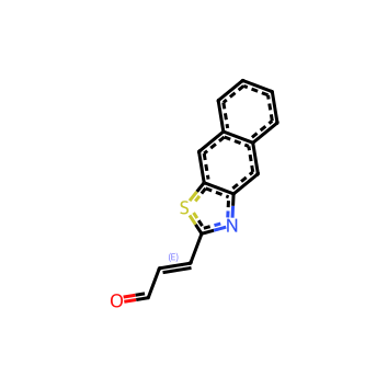 O=C/C=C/c1nc2cc3ccccc3cc2s1